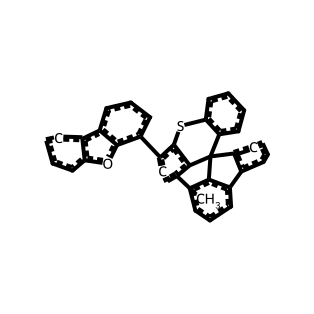 Cc1ccc(-c2cccc3c2oc2ccccc23)c2c1C1(c3ccccc3S2)c2ccccc2-c2ccccc21